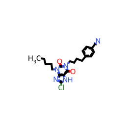 CCCCCn1c(=O)n(CCCCc2ccc(C#N)cc2)c(=O)c2[nH]c(Cl)nc21